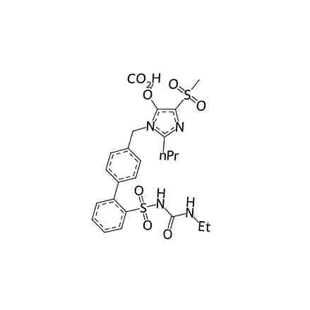 CCCc1nc(S(C)(=O)=O)c(OC(=O)O)n1Cc1ccc(-c2ccccc2S(=O)(=O)NC(=O)NCC)cc1